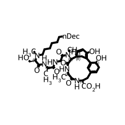 CCCCCCCCCCCCCCCCN(C)[C@H](CO)C(=O)N[C@H](C)C(=O)NCC(=O)N(C)[C@@H]1C(=O)N[C@@H](C)C(=O)N[C@H](C(=O)O)CC2=CC[C@H](O)C(=C2)C2=C(O)C=C[C@H]1C2